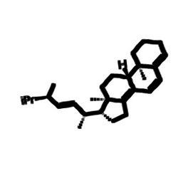 CC(C)[C@@H](C)/C=C/[C@@H](C)[C@H]1CCC2=C3C=CC4=CCCC[C@]4(C)[C@H]3CC[C@@]21C